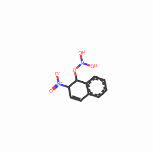 O=[N+]([O-])C1C=Cc2ccccc2C1ON(O)O